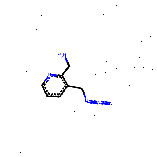 [N-]=[N+]=NCc1cccnc1CN